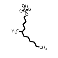 CCCCCCC(C)CCCCOS(=O)(=O)O